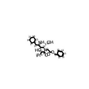 CC(C)CC(=O)N(CC(=O)OCc1ccccc1)C[C@@H](O)[C@@H](N)CC1CCCCC1.Cl